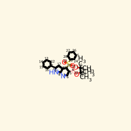 CC1(C)OB(c2cnc3[nH]c(-c4ccccc4)cc3c2S(=O)(=O)c2ccccc2)OC1(C)C